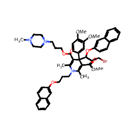 COC(=O)C1=C(C)N(CCCOc2ccc3ccccc3c2)C(C)=C(C(=O)OCCCN2CCN(C)CC2)C1(c1ccc(OC)c(OC)c1)C(CCBr)Oc1ccc2ccccc2c1